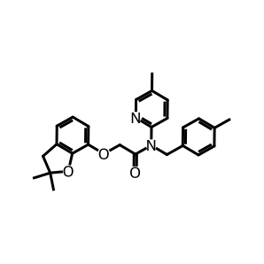 Cc1ccc(CN(C(=O)COc2cccc3c2OC(C)(C)C3)c2ccc(C)cn2)cc1